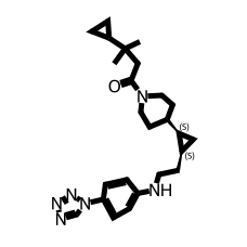 CC(C)(CC(=O)N1CCC([C@H]2C[C@H]2CCNc2ccc(-n3cnnn3)cc2)CC1)C1CC1